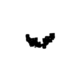 COc1ccc(Cn2ncc(N[C@@H](C)COCCC(=O)N3CCN4c5ncc(C(F)(F)F)cc5OC[C@H]4C3)c(C(F)(F)F)c2=O)cc1